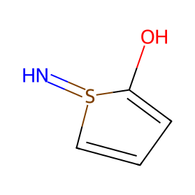 N=S1C=CC=C1O